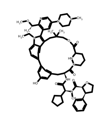 CCn1c(-c2cc(N3CCN(C)CC3)cnc2[C@H](C)OC)c2c3cc(ccc31)-c1cc(O)cc(c1)C[C@H](NC(=O)[C@H](C1CCCC1)N(C)C(=O)[C@H]1OCC[C@H]1c1ccccc1)C(=O)N1CCC[C@](C=O)(COCC(C)(C)C2)N1